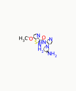 CCOc1ccnc2c(C(=O)Nc3cnccc3N3CCC[C@@H](N)C3)c(N)sc12